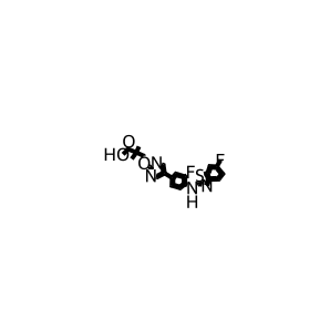 CC(C)(COc1ncc(-c2ccc(Nc3nc4ccc(F)cc4s3)c(F)c2)cn1)C(=O)O